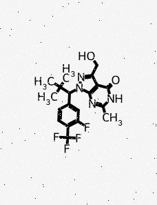 Cc1nc2c(c(CO)nn2C(c2ccc(C(F)(F)F)c(F)c2)C(C)(C)C)c(=O)[nH]1